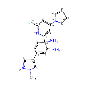 Cn1cc(C2=CC(N)C(N)(c3cc(-n4cccc4)cc(Cl)n3)C=C2)cn1